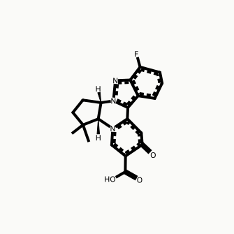 CC1(C)CC[C@H]2[C@@H]1n1cc(C(=O)O)c(=O)cc1-c1c3cccc(F)c3nn12